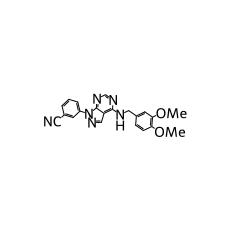 COc1ccc(CNc2ncnc3c2cnn3-c2cccc(C#N)c2)cc1OC